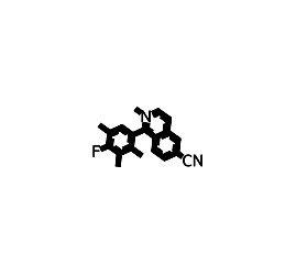 Cc1cc(-c2c3ccc(C#N)cc3cc[n+]2C)c(C)c(C)c1F